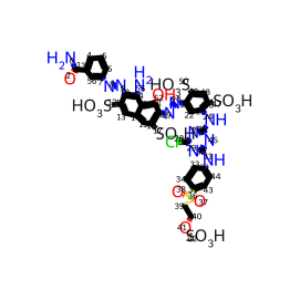 NC(=O)c1cccc(/N=N/c2c(S(=O)(=O)O)cc3cc(S(=O)(=O)O)c(/N=N/c4cc(Nc5nc(Cl)nc(Nc6ccc(S(=O)(=O)CCOS(=O)(=O)O)cc6)n5)c(S(=O)(=O)O)cc4S(=O)(=O)O)c(O)c3c2N)c1